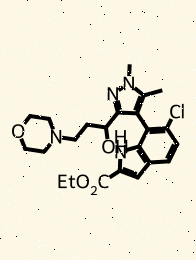 CCOC(=O)c1cc2ccc(Cl)c(-c3c(C(O)CCN4CCOCC4)nn(C)c3C)c2[nH]1